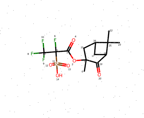 CC1(OC(=O)C(F)(C(F)(F)F)S(=O)(=O)O)CC2CC(C1=O)C2(C)C